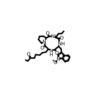 CCCC1NC(=O)C2CCCCN2C(=O)C(CCCCCC(=O)CC)NC(=O)C(Cc2cn(OC)c3ccccc23)NC1=O